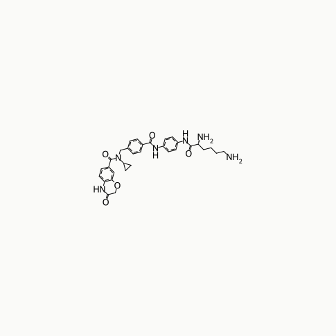 NCCCC[C@H](N)C(=O)Nc1ccc(NC(=O)c2ccc(CN(C(=O)c3ccc4c(c3)OCC(=O)N4)C3CC3)cc2)cc1